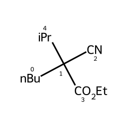 CCCCC(C#N)(C(=O)OCC)C(C)C